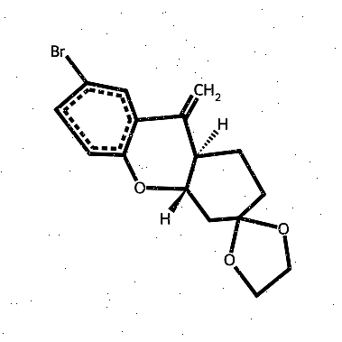 C=C1c2cc(Br)ccc2O[C@H]2CC3(CC[C@H]12)OCCO3